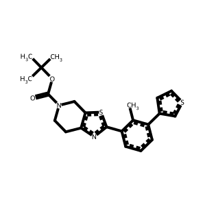 Cc1c(-c2ccsc2)cccc1-c1nc2c(s1)CN(C(=O)OC(C)(C)C)CC2